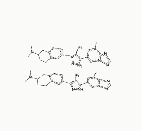 Cc1cc(-c2[nH]nc(-c3ccc4c(c3)CCC(N(C)C)C4)c2C(C)C)cn2ncnc12.Cc1cc(-c2[nH]nc(-c3ccc4c(c3)CCC(N(C)C)C4)c2C(C)C)cn2ncnc12